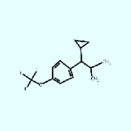 CC(C)C(c1ccc(OC(F)(F)F)cc1)C1CC1